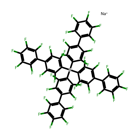 Fc1c(F)c(F)c(-c2c(F)c(F)c([B-](c3c(F)c(F)c(-c4c(F)c(F)c(F)c(F)c4F)c(F)c3F)(c3c(F)c(F)c(-c4c(F)c(F)c(F)c(F)c4F)c(F)c3F)c3c(F)c(F)c(-c4c(F)c(F)c(F)c(F)c4F)c(F)c3F)c(F)c2F)c(F)c1F.[Na+]